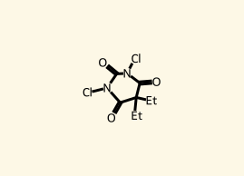 CCC1(CC)C(=O)N(Cl)C(=O)N(Cl)C1=O